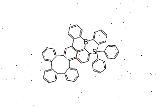 c1ccc([Si]2(c3ccccc3)c3ccccc3B(c3ccccc3-c3ccc4c(c3)-c3ccccc3-c3ccccc3-c3ccccc3-4)c3ccccc32)cc1